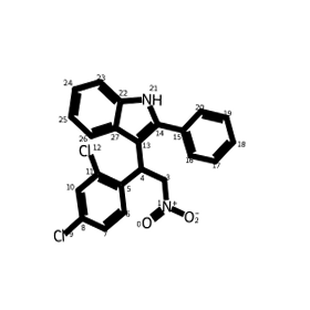 O=[N+]([O-])CC(c1ccc(Cl)cc1Cl)c1c(-c2ccccc2)[nH]c2ccccc12